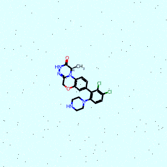 C[C@@H]1C(=O)NN=C2COc3cc(-c4c(N5CCNCC5)ccc(Cl)c4Cl)ccc3N21